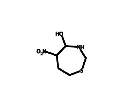 O=[N+]([O-])C1CCSCNC1O